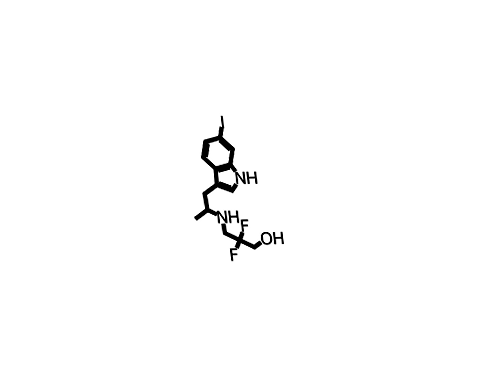 CC(Cc1c[nH]c2cc(I)ccc12)NCC(F)(F)CO